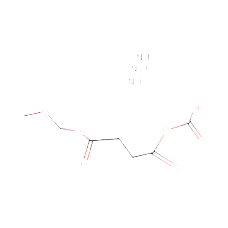 COCOC(=O)CCC(=O)OC(=O)O.[NaH].[NaH].[NaH]